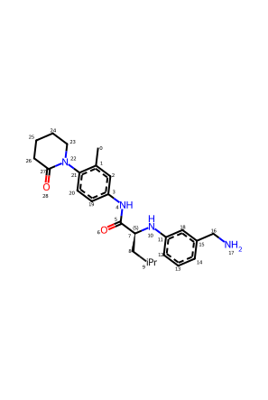 Cc1cc(NC(=O)[C@H](CC(C)C)Nc2cccc(CN)c2)ccc1N1CCCCC1=O